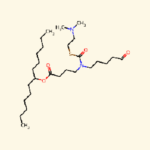 CCCCCCC(CCCCCC)OC(=O)CCCN(CCCCC=O)C(=O)SCCN(C)C